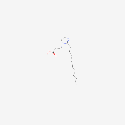 CCCCCCCCCCCC1=NCCN1CCC(=O)OC